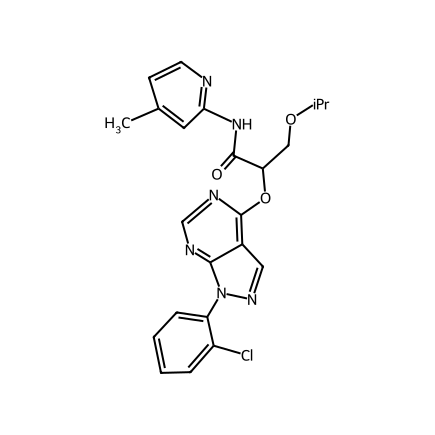 Cc1ccnc(NC(=O)C(COC(C)C)Oc2ncnc3c2cnn3-c2ccccc2Cl)c1